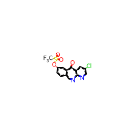 O=c1c2cc(OS(=O)(=O)C(F)(F)F)ccc2cnc2ncc(Cl)cc12